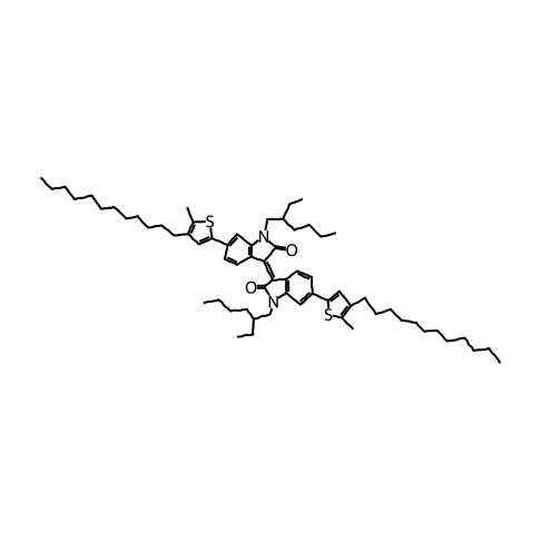 CCCCCCCCCCCCc1cc(-c2ccc3c(c2)N(CC(CC)CCCC)C(=O)/C3=C2/C(=O)N(CC(CC)CCCC)c3cc(-c4cc(CCCCCCCCCCCC)c(C)s4)ccc32)sc1C